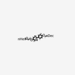 CCCCCCCCCCCOc1ccc(-c2ncc(OCCOCCCCCC)cn2)cc1